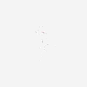 Oc1cc2c(cc1NC1CCCCCC1)C[C@@H]1NCC[C@]23CCCC[C@H]13